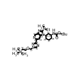 CCN(C)c1nc2cnc(-c3ncn(COCC[Si](C)(C)C)n3)cc2n1[C@@H]1CCC[C@H](NC(=O)OC(C)(C)C)C1